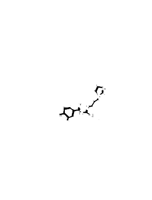 NC(=NCCCn1ccnc1)NC(=O)c1ccc(Cl)c(Cl)c1